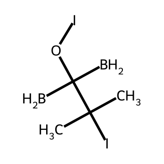 BC(B)(OI)C(C)(C)I